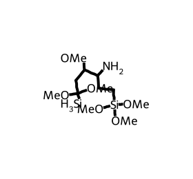 COC(CC([SiH3])(OC)OC)C(N)CC[Si](OC)(OC)OC